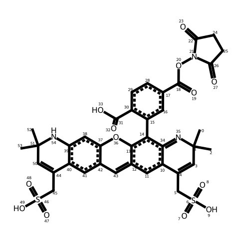 CC1(C)C=C(CS(=O)(=O)O)c2cc3c(c(-c4cc(C(=O)ON5C(=O)CCC5=O)ccc4C(=O)O)c2=N1)Oc1cc2c(cc1C=3)C(CS(=O)(=O)O)=CC(C)(C)N2